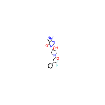 Cn1ncc2c(=O)n(CC3(O)CCN(C(=O)CC(c4ccccc4)C(F)F)CC3)cnc21